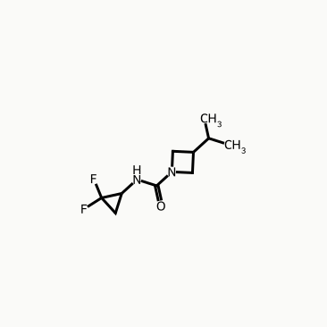 CC(C)C1CN(C(=O)NC2CC2(F)F)C1